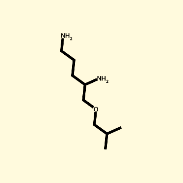 CC(C)COCC(N)CCCN